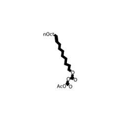 CCCCCCCCC=CCCCCCCCCOC(=O)OC(=O)OC(C)=O